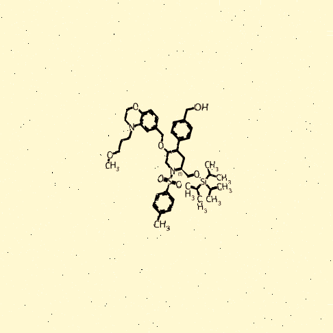 COCCCN1CCOc2ccc(COC3CN(S(=O)(=O)c4ccc(C)cc4)[C@H](CO[Si](C(C)C)(C(C)C)C(C)C)CC3c3ccc(CO)cc3)cc21